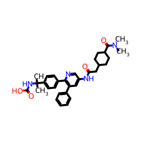 CN(C)C(=O)C1CCC(CC(=O)Nc2cnc(-c3ccc(C(C)(C)NC(=O)O)cc3)c(-c3ccccc3)c2)CC1